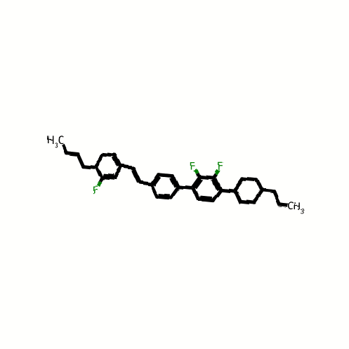 CCCCC1CC=C(/C=C/c2ccc(-c3ccc(C4CCC(CCC)CC4)c(F)c3F)cc2)C=C1F